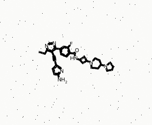 CCc1ncnc(-c2ccc(C(=O)NC3CC(N4CCC(N5CCCC5)CC4)C3)c(F)c2)c1C#Cc1ccc(N)nc1